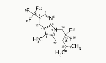 Cc1c2n(c3ncc(C(F)(F)F)cc13)CC(F)(F)C(C(C)C)C2